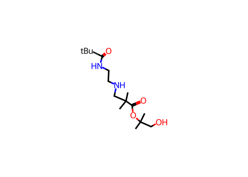 CC(C)(CO)OC(=O)C(C)(C)CNCCNC(=O)C(C)(C)C